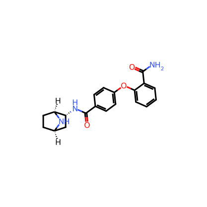 NC(=O)c1ccccc1Oc1ccc(C(=O)N[C@@H]2C[C@H]3CC[C@@H]2N3)cc1